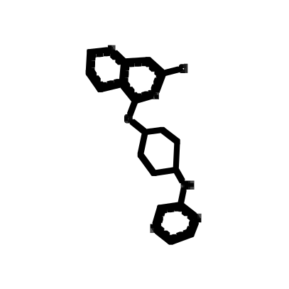 Clc1cc2ncccc2c(OC2CCC(Nc3cnccn3)CC2)n1